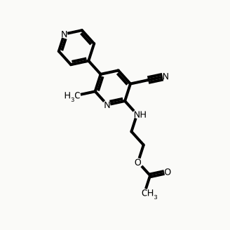 CC(=O)OCCNc1nc(C)c(-c2ccncc2)cc1C#N